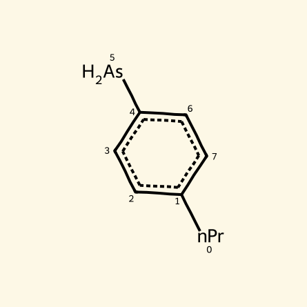 CCCc1ccc([AsH2])cc1